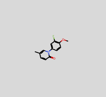 COc1ccc(-n2cc(C)ccc2=O)cc1F